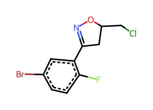 Fc1ccc(Br)cc1C1=NOC(CCl)C1